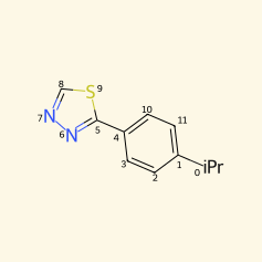 CC(C)c1ccc(-c2nncs2)cc1